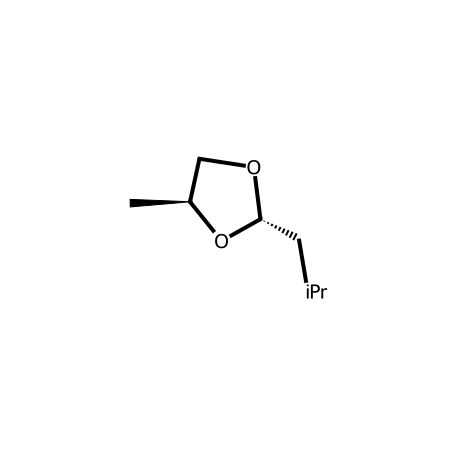 CC(C)C[C@H]1OC[C@H](C)O1